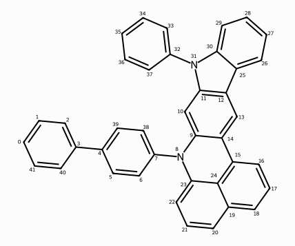 c1ccc(-c2ccc(N3c4cc5c(cc4-c4cccc6cccc3c46)c3ccccc3n5-c3ccccc3)cc2)cc1